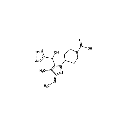 CN=c1sc(C2CCN(C(=O)O)CC2)c(C(O)c2cccs2)n1C